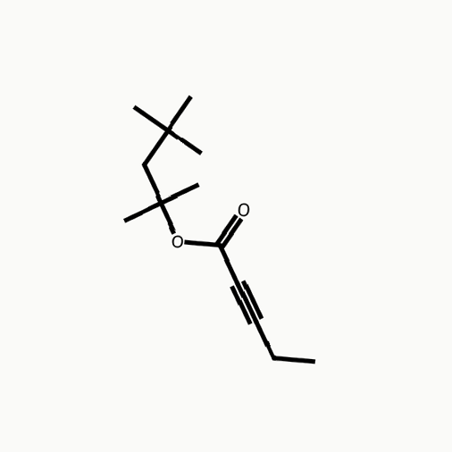 CCC#CC(=O)OC(C)(C)CC(C)(C)C